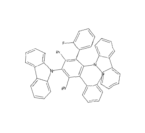 CC(C)c1c(-c2ccccc2F)c(-n2c3ccccc3c3ccccc32)c(-c2ccccc2F)c(C(C)C)c1-n1c2ccccc2c2ccccc21